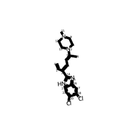 C=C/C(=C\C=C(/C)N1CCN(C)CC1)c1nc2cc(Cl)c(Cl)cc2[nH]1